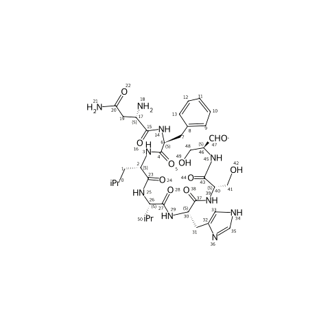 CC(C)C[C@H](NC(=O)[C@H](Cc1ccccc1)NC(=O)[C@@H](N)CC(N)=O)C(=O)N[C@H](C(=O)N[C@@H](Cc1c[nH]cn1)C(=O)N[C@@H](CO)C(=O)N[C@H]([C]=O)CO)C(C)C